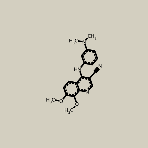 COc1ccc2c(Nc3cccc(N(C)C)c3)c(C#N)cnc2c1OC